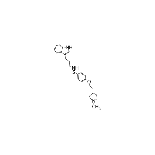 CN1CCC(CCOc2ccc(SNCCCc3c[nH]c4ccccc34)cc2)CC1